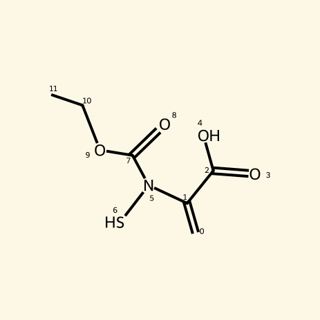 C=C(C(=O)O)N(S)C(=O)OCC